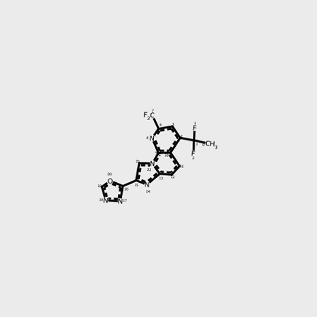 CC(F)(F)c1cc(C(F)(F)F)nc2c1ccc1nc(-c3nnco3)cn12